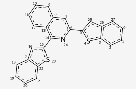 c1ccc2sc(-c3cc4ccccc4c(-c4cc5ccccc5s4)n3)cc2c1